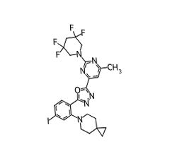 Cc1cc(-c2nnc(-c3ccc(I)cc3N3CCC4(CC3)CC4)o2)nc(N2CC(F)(F)CC(F)(F)C2)n1